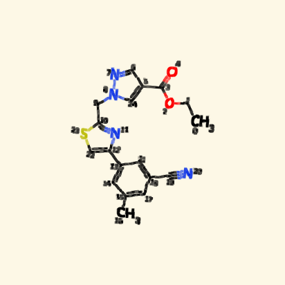 CCOC(=O)c1cnn(Cc2nc(-c3cc(C)cc(C#N)c3)cs2)c1